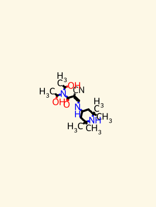 CC(O)N(C(=O)C(C#N)=CNC1CC(C)(C)NC(C)(C)C1)C(C)O